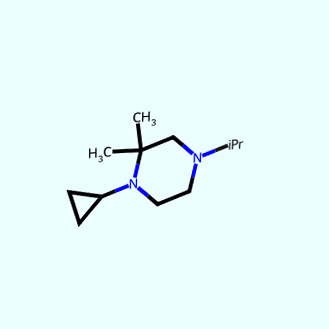 CC(C)N1CCN(C2CC2)C(C)(C)C1